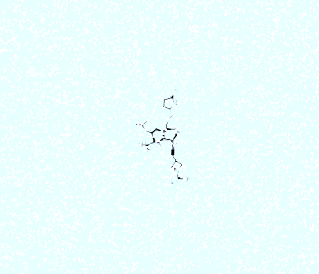 CC(C)Oc1cc2c(OC[C@@H]3CCC(=O)N3)ncc(C#CC3CN(C(=O)O)C3)c2cc1C(N)=O